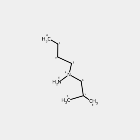 CCCCN(N)CC(C)C